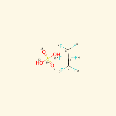 FC(F)C(F)(F)C(F)F.O=S(=O)(O)O